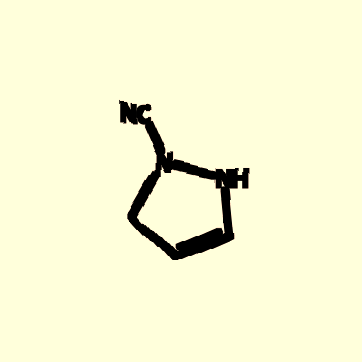 N#CN1CC=CN1